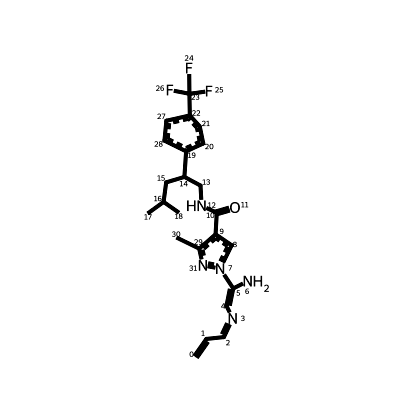 C=C/C=N\C=C(/N)n1cc(C(=O)NCC(CC(C)C)c2ccc(C(F)(F)F)cc2)c(C)n1